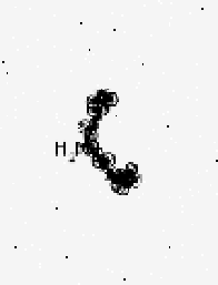 NC(COC(=O)CCCC(=O)ON1C(=O)CCC1=O)OCOOC(=O)CCCC(=O)ON1C(=O)CCC1=O